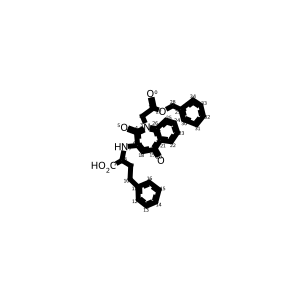 O=C(Cn1c(=O)c(NC(CCc2ccccc2)C(=O)O)cc(=O)c2ccccc21)OCc1ccccc1